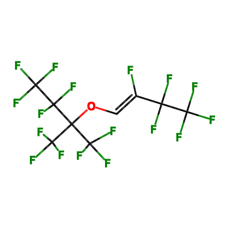 FC(=COC(C(F)(F)F)(C(F)(F)F)C(F)(F)C(F)(F)F)C(F)(F)C(F)(F)F